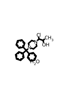 CC(O)C(Cl)N1CCN(C(c2ccccc2)(c2ccccc2)c2ccccc2)CC1.O